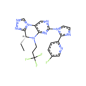 CC[C@@H]1c2nncn2-c2cnc(-n3ccnc3-c3ccc(F)cn3)nc2N1CCC(F)(F)F